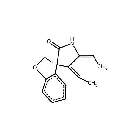 C/C=C1\C(=C/C)NC(=O)[C@@]12COc1ccccc12